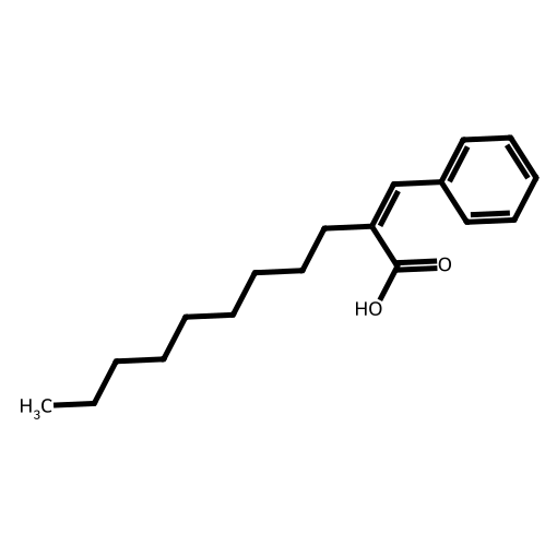 CCCCCCCCC/C(=C/c1ccccc1)C(=O)O